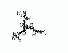 NCCNCCC(=O)N1CN(C(=O)CCNCCN)CN(C(=O)CCNCCN)C1